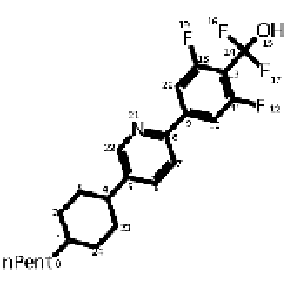 CCCCCC1CCC(c2ccc(-c3cc(F)c(C(O)(F)F)c(F)c3)nc2)CC1